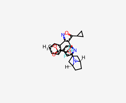 COC(=O)c1ccnc(N2[C@@H]3CC[C@H]2C[C@@H](OCc2c(-c4ccccc4C(F)(F)F)noc2C2CC2)C3)c1